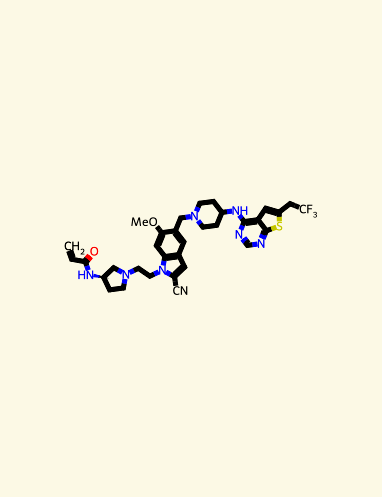 C=CC(=O)N[C@@H]1CCN(CCn2c(C#N)cc3cc(CN4CCC(Nc5ncnc6sc(CC(F)(F)F)cc56)CC4)c(OC)cc32)C1